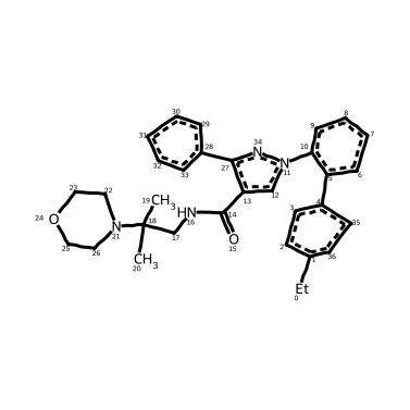 CCc1ccc(-c2ccccc2-n2cc(C(=O)NCC(C)(C)N3CCOCC3)c(-c3ccccc3)n2)cc1